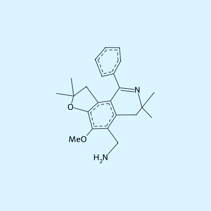 COc1c(CN)c2c(c3c1OC(C)(C)C3)C(c1ccccc1)=NC(C)(C)C2